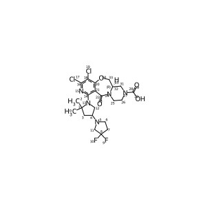 CC1(C)CC(N2CCC(F)(F)C2)CN1c1nc(Cl)c(Cl)c2c1C(=O)N1CCN(C(=O)O)C[C@@H]1CO2